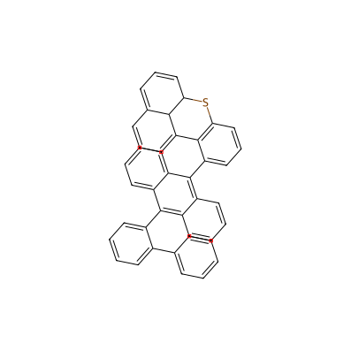 C1=CC2=CC=CC3Sc4cccc(-c5c6ccccc6c(-c6ccccc6-c6ccccc6)c6ccccc56)c4C(=C1)C23